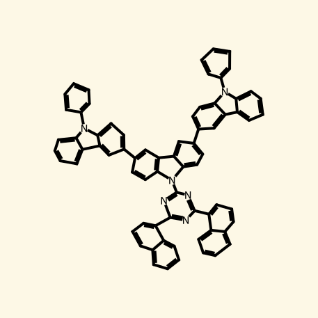 c1ccc(-n2c3ccccc3c3cc(-c4ccc5c(c4)c4cc(-c6ccc7c(c6)c6ccccc6n7-c6ccccc6)ccc4n5-c4nc(-c5cccc6ccccc56)nc(-c5cccc6ccccc56)n4)ccc32)cc1